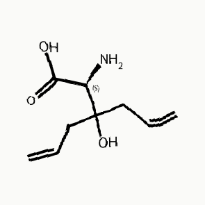 C=CCC(O)(CC=C)[C@H](N)C(=O)O